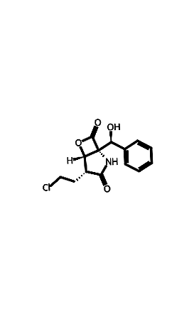 O=C1N[C@@]2([C@@H](O)c3ccccc3)C(=O)O[C@H]2[C@H]1CCCl